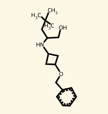 CC(C)(C)CC(CO)NC1CC(OCc2ccccc2)C1